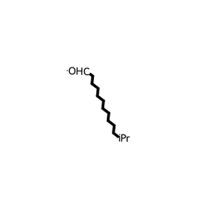 CC(C)CCCCCCCCCC[C]=O